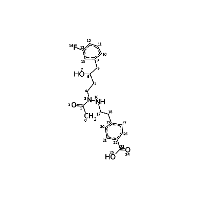 CC(=O)N(CCC(O)Cc1cccc(F)c1)NCCc1ccc(C(=O)O)cc1